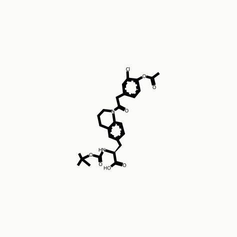 CC(=O)Oc1ccc(CC(=O)N2CCCc3cc(C[C@H](NC(=O)OC(C)(C)C)C(=O)O)ccc32)cc1Cl